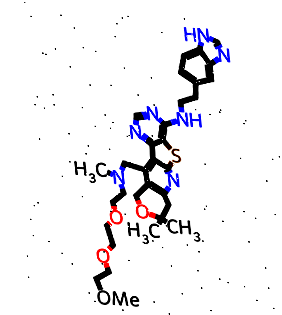 COCCOCCOCCN(C)Cc1c2c(nc3sc4c(NCCc5ccc6[nH]cnc6c5)ncnc4c13)CC(C)(C)OC2